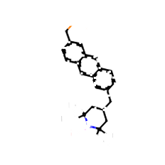 CC1(C)CC(Cc2ccc3cc4cc(CP)ccc4cc3c2)CC(C)(C)N1O